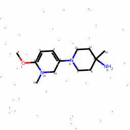 COC1=CC=C(N2CCC(C)(N)CC2)CN1C